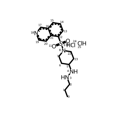 CCCNNC1CCN(S(=O)(=O)c2cccc3cnccc23)CC1.Cl.Cl